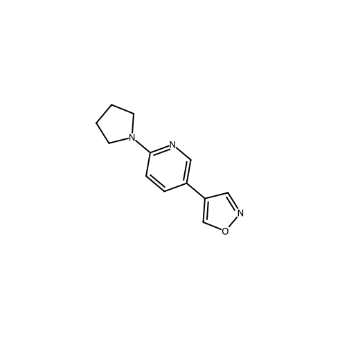 c1cc(N2CCCC2)ncc1-c1cnoc1